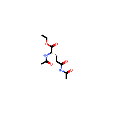 CCOC(=O)[C@H](CCC(=O)NC(C)=O)NC(C)=O